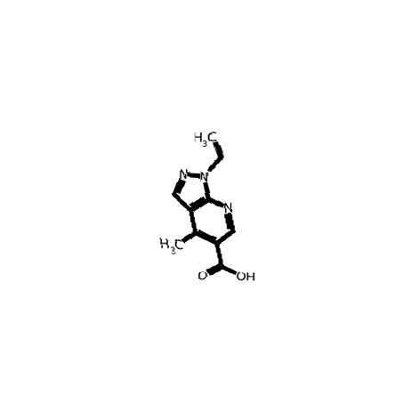 CCn1ncc2c(C)c(C(=O)O)cnc21